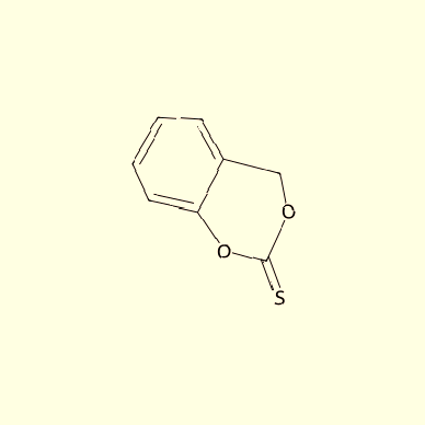 S=C1OCc2ccccc2O1